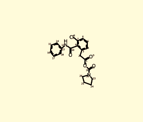 O=C(Cc1cccc(Cl)c1C(=O)Nc1ccccc1)OC(=O)N1CCCC1